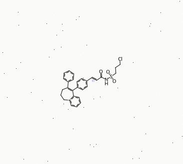 O=C(/C=C/c1ccc(C2=C(c3ccccc3)CCCc3ccccc32)cc1)NS(=O)(=O)CCCCl